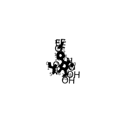 C=CC(=O)N(C)Cc1cc(-c2ccc(OC(F)(F)F)cc2)c2ncoc2c1[C@H](O)CO